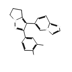 Fc1ccc(-c2nn3c(c2-c2ccc4nccn4c2)CCC3)cc1Cl